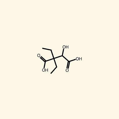 CCC(CC)(C(=O)O)C(O)C(=O)O